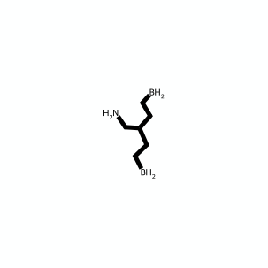 BCCC(CN)CCB